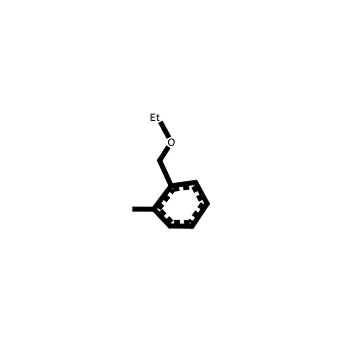 CCOCc1ccccc1C